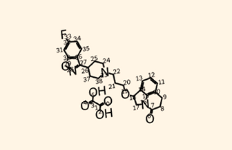 O=C(O)C(=O)O.O=C1CCc2cccc3c2N1CC3OCCCN1CCC(c2noc3cc(F)ccc23)CC1